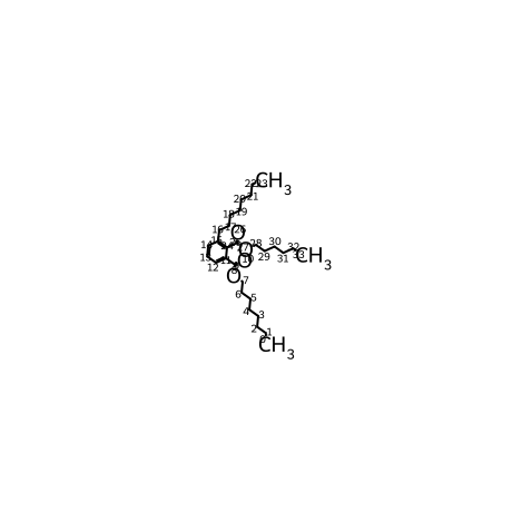 CCCCCCCCOC(=O)c1cccc(CCCCCCCC)c1C(=O)OCCCCCC